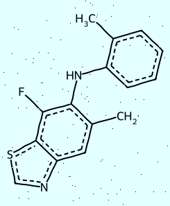 [CH2]c1cc2ncsc2c(F)c1Nc1ccccc1C